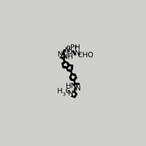 CCCN(Cc1ncc(-c2ccc3cc(-c4ccc(-c5cnc(C6CCCN6C)[nH]5)cc4)ccc3c2)[nH]1)OCCNC=O